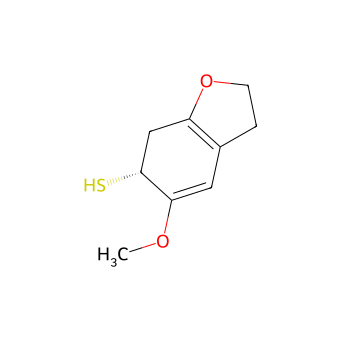 COC1=CC2=C(C[C@H]1S)OCC2